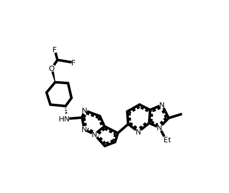 CCn1c(C)nc2ccc(-c3ccn4nc(N[C@H]5CC[C@H](OC(F)F)CC5)ncc34)nc21